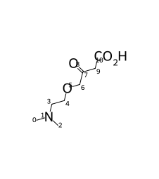 CN(C)CCOCC(=O)CC(=O)O